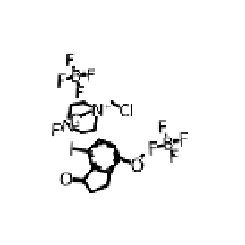 COc1ccc(I)c2c1CCC2=O.F[B-](F)(F)F.F[B-](F)(F)F.F[N+]12CC[N+](CCl)(CC1)CC2